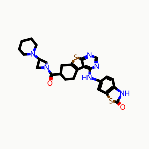 O=C(C1CCc2c(sc3ncnc(Nc4ccc5[nH]c(=O)sc5c4)c23)C1)N1CC(N2CCCCC2)C1